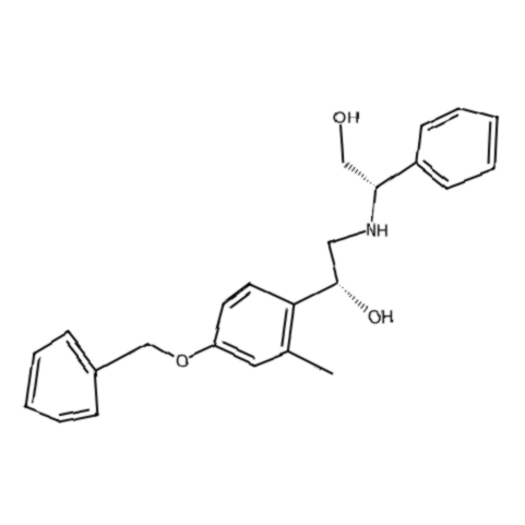 Cc1cc(OCc2ccccc2)ccc1[C@@H](O)CN[C@H](CO)c1ccccc1